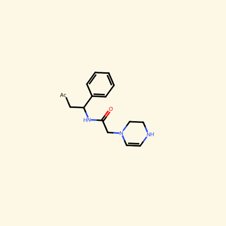 CC(=O)CC(NC(=O)CN1C=CNCC1)c1ccccc1